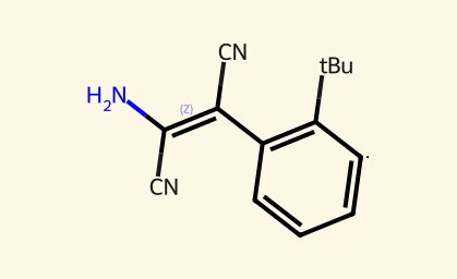 CC(C)(C)c1[c]cccc1/C(C#N)=C(/N)C#N